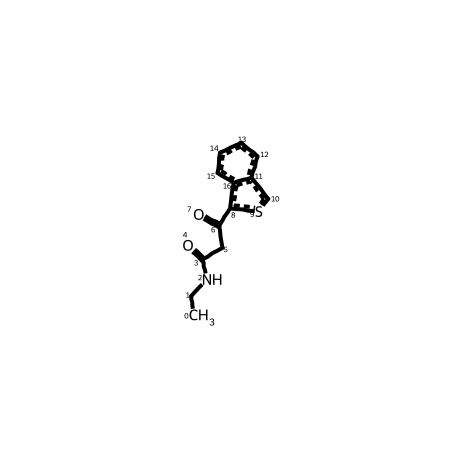 CCNC(=O)CC(=O)c1scc2ccccc12